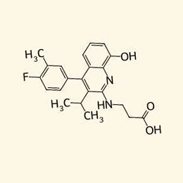 Cc1cc(-c2c(C(C)C)c(NCCC(=O)O)nc3c(O)cccc23)ccc1F